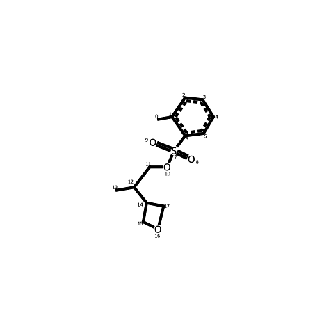 Cc1ccccc1S(=O)(=O)OCC(C)C1COC1